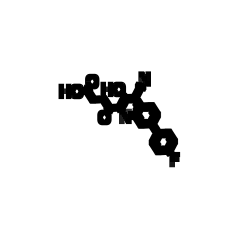 N#Cc1c(O)c(C(=O)CCC(=O)O)nc2cc(-c3ccc(F)cc3)ccc12